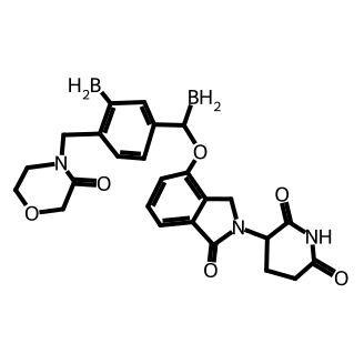 Bc1cc(C(B)Oc2cccc3c2CN(C2CCC(=O)NC2=O)C3=O)ccc1CN1CCOCC1=O